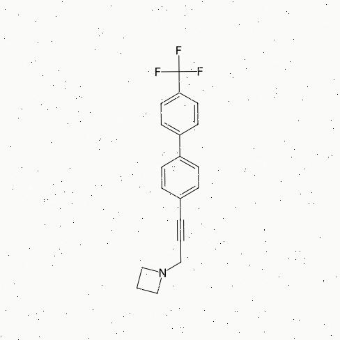 FC(F)(F)c1ccc(-c2ccc(C#CCN3CCC3)cc2)cc1